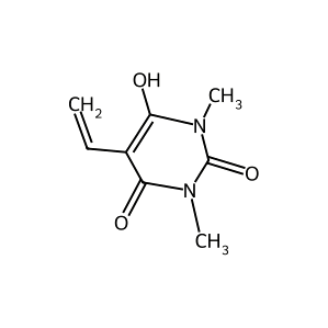 C=Cc1c(O)n(C)c(=O)n(C)c1=O